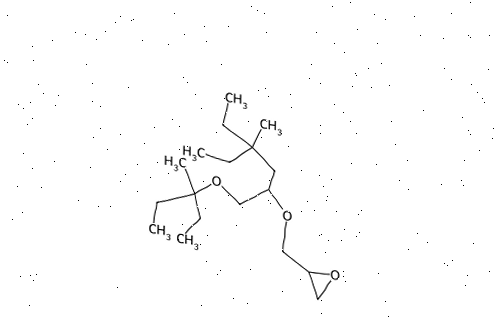 CCC(C)(CC)CC(COC(C)(CC)CC)OCC1CO1